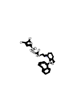 O=C(NC/C=C1\CCCc2cnn(-c3cccc4ccccc34)c21)NS(=O)(=O)c1cc(Cl)c(Cl)s1